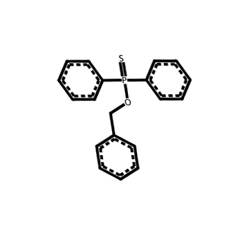 S=P(OCc1ccccc1)(c1ccccc1)c1ccccc1